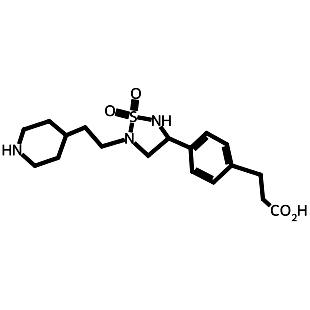 O=C(O)CCc1ccc(C2CN(CCC3CCNCC3)S(=O)(=O)N2)cc1